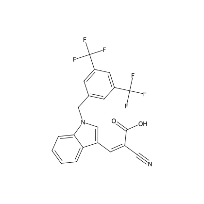 N#CC(=Cc1cn(Cc2cc(C(F)(F)F)cc(C(F)(F)F)c2)c2ccccc12)C(=O)O